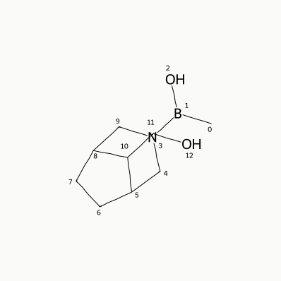 CB(O)N1CC2CCC(C1)C2CO